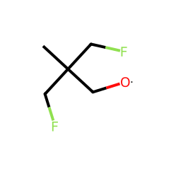 CC(C[O])(CF)CF